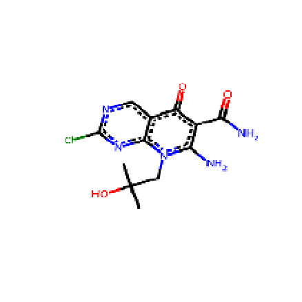 CC(C)(O)Cn1c(N)c(C(N)=O)c(=O)c2cnc(Cl)nc21